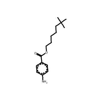 CC(C)(C)CCCCCOC(=O)c1ccc(N)cc1